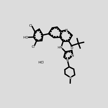 CN1CCC(n2cc(Nc3c(C(=O)C(C)(C)C)cnc4ccc(-c5cc(Cl)c(O)c(Cl)c5)cc34)cn2)CC1.Cl